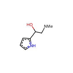 CNCC(O)c1ccc[nH]1